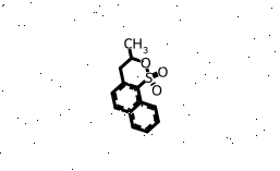 CC1Cc2ccc3ccccc3c2S(=O)(=O)O1